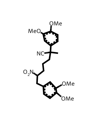 COc1ccc(CC(CCCC(C)(C#N)c2ccc(OC)c(OC)c2)[N+](=O)[O-])cc1OC